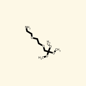 COC(COCCOCCN)(OC)OC